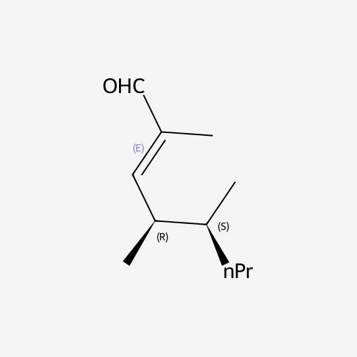 CCC[C@H](C)[C@@H](C)/C=C(\C)C=O